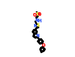 CS(=O)(=O)CCNCc1nc(-c2ccc3ccc(-c4ccc(Oc5ccccc5)cc4)nc3c2)cs1